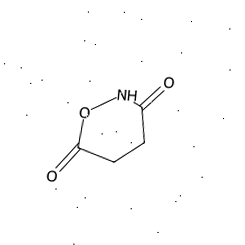 O=C1CCC(=O)ON1